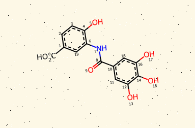 O=C(O)c1ccc(O)c(NC(=O)c2cc(O)c(O)c(O)c2)c1